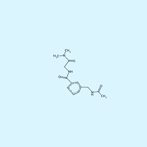 CC(=O)NCc1cccc(C(=O)NCC(=O)N(C)C)c1